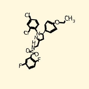 CCOc1ccc([C@H]2CC(CNS(=O)(=O)c3cc(F)ccc3F)=NN2c2ccc(Cl)cc2Cl)cc1